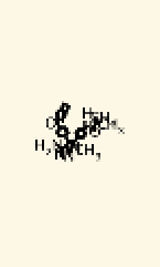 C=C(C)C(=O)Nc1ccc(-c2c(-c3ccc(C(=O)N4CC5CCC5C4)cc3)c3c(N)ncnc3n2C)cc1